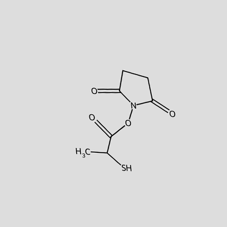 CC(S)C(=O)ON1C(=O)CCC1=O